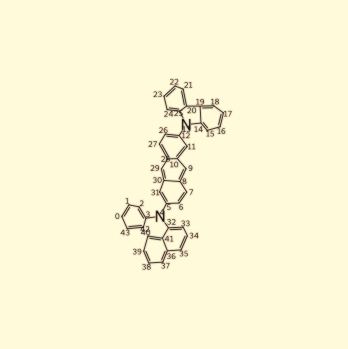 c1ccc(N(c2ccc3cc4cc(-n5c6ccccc6c6ccccc65)ccc4cc3c2)c2cccc3ccccc23)cc1